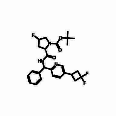 CC(C)(C)OC(=O)N1CC(F)C[C@@H]1C(=O)NC(c1ccccc1)c1ccc(C2CC(F)(F)C2)cn1